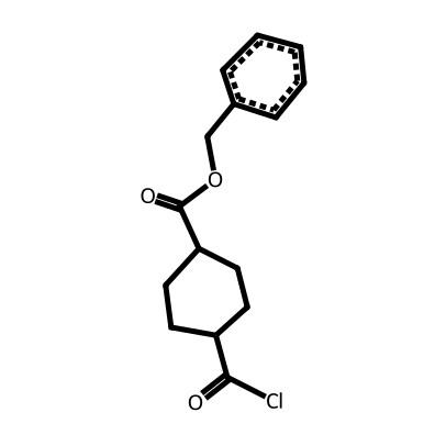 O=C(Cl)C1CCC(C(=O)OCc2ccccc2)CC1